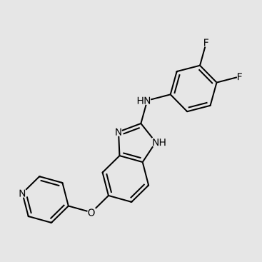 Fc1ccc(Nc2nc3cc(Oc4ccncc4)ccc3[nH]2)cc1F